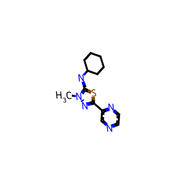 Cn1nc(-c2cnccn2)sc1=NC1CCCCC1